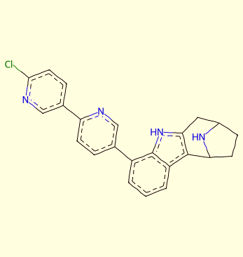 Clc1ccc(-c2ccc(-c3cccc4c5c([nH]c34)CC3CCC5N3)cn2)cn1